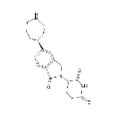 O=C1CCC(N2Cc3cc([C@H]4CCCNCC4)ccc3C2=O)C(=O)N1